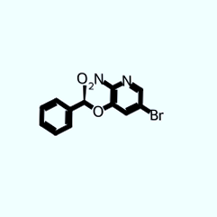 C[C@@H](Oc1cc(Br)cnc1[N+](=O)[O-])c1ccccc1